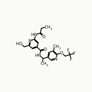 CCC(=O)Nc1cc(C(=O)NC(C)c2cnc(OCC(F)(F)F)c(C)c2)cc(CO)n1